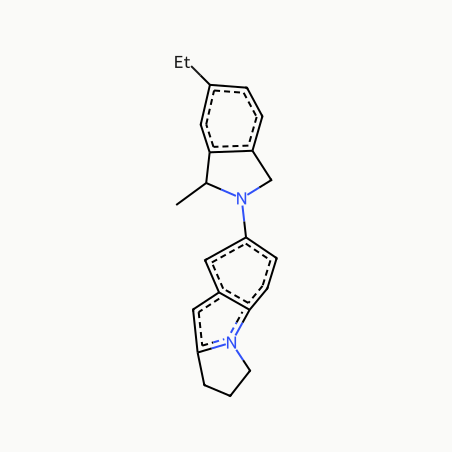 CCc1ccc2c(c1)C(C)N(c1ccc3c(c1)cc1n3CCC1)C2